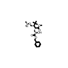 COC(=O)[C@H](CN(O)C(=O)OCc1ccccc1)[C@@H](CO[SiH](C)C)C(C)(C)C